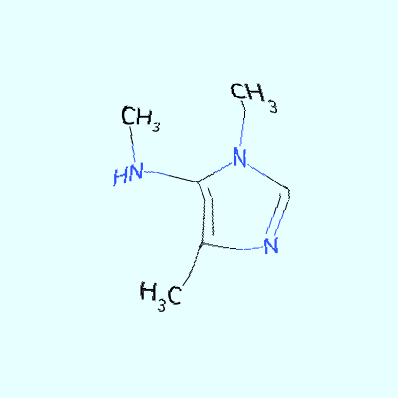 CNc1c(C)ncn1C